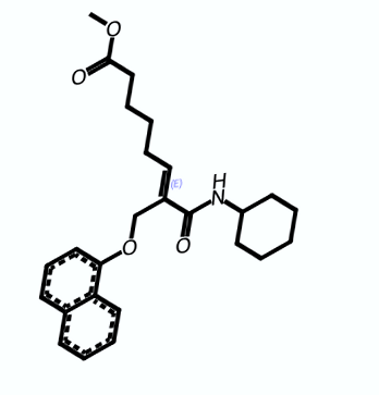 COC(=O)CCCC/C=C(\COc1cccc2ccccc12)C(=O)NC1CCCCC1